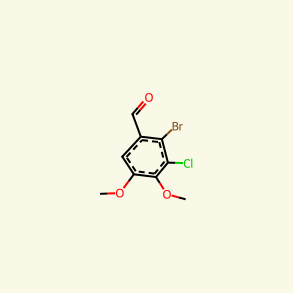 COc1cc(C=O)c(Br)c(Cl)c1OC